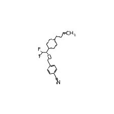 C=CCCC1CCC(C(OCc2ccc(C#N)cc2)C(F)F)CC1